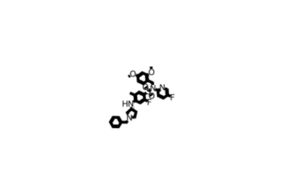 COc1ccc(CN(c2ccc(F)cn2)S(=O)(=O)c2cc(C)c(N[C@H]3CCN(Cc4ccccc4)C3)cc2F)c(OC)c1